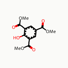 COC(=O)c1cc(C(=O)OC)c(O)c(C(=O)OC)c1